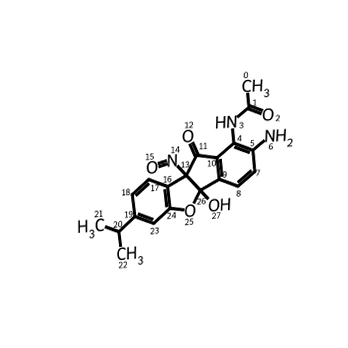 CC(=O)Nc1c(N)ccc2c1C(=O)C1(N=O)c3ccc(C(C)C)cc3OC21O